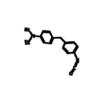 CCN(CC)c1ccc(Cc2ccc(N=C=O)cc2)cc1